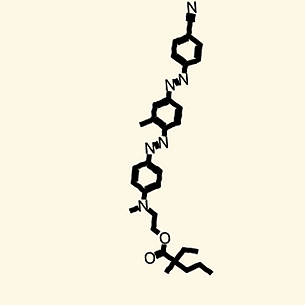 CCCC(C)(CC)C(=O)OCCN(C)c1ccc(/N=N/c2ccc(/N=N/c3ccc(C#N)cc3)cc2C)cc1